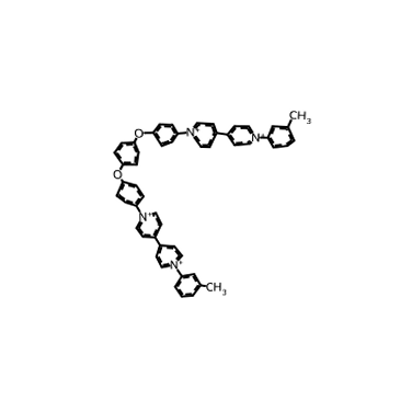 Cc1cccc(-[n+]2ccc(-c3cc[n+](-c4ccc(Oc5ccc(Oc6ccc(-[n+]7ccc(-c8cc[n+](-c9cccc(C)c9)cc8)cc7)cc6)cc5)cc4)cc3)cc2)c1